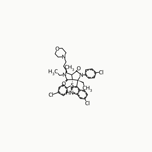 CCC1C(=O)N(c2ccc(Cl)cc2)[C@](CC)(c2c[nH]c3cc(Cl)ccc23)[C@@]1(Sc1ccc(Cl)cc1)C(=O)N(CC)CCCN1CCOCC1